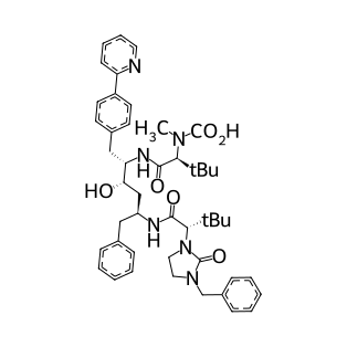 CN(C(=O)O)[C@H](C(=O)N[C@@H](Cc1ccc(-c2ccccn2)cc1)[C@@H](O)C[C@H](Cc1ccccc1)NC(=O)[C@@H](N1CCN(Cc2ccccc2)C1=O)C(C)(C)C)C(C)(C)C